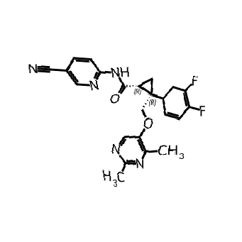 Cc1ncc(OC[C@@]2(C3C=CC(F)=C(F)C3)C[C@H]2C(=O)Nc2ccc(C#N)cn2)c(C)n1